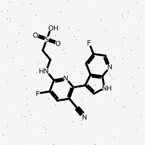 N#Cc1cc(F)c(NCCS(=O)(=O)O)nc1-c1c[nH]c2ncc(F)cc12